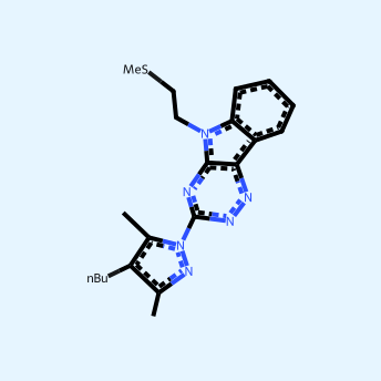 CCCCc1c(C)nn(-c2nnc3c4ccccc4n(CCSC)c3n2)c1C